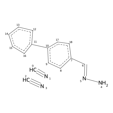 C#N.C#N.NN=Cc1ccc(-c2ccccc2)cc1